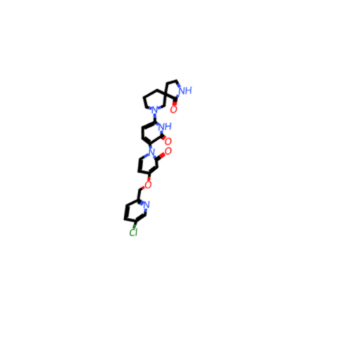 O=C1NCCC12CCCN(c1ccc(-n3ccc(OCc4ccc(Cl)cn4)cc3=O)c(=O)[nH]1)C2